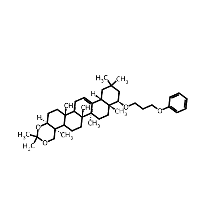 CC1(C)C[C@@H](OCCCOc2ccccc2)[C@]2(C)CC[C@]3(C)C(=CCC4[C@@]5(C)CC[C@@H]6OC(C)(C)OC[C@]6(C)C5CC[C@]43C)[C@@H]2C1